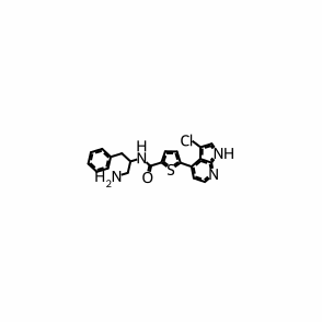 NCC(Cc1ccccc1)NC(=O)c1ccc(-c2ccnc3[nH]cc(Cl)c23)s1